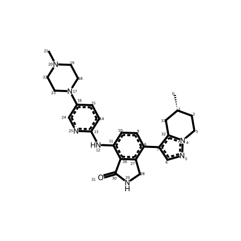 C[C@@H]1CCn2ncc(-c3ccc(Nc4ccc(N5CCN(C)CC5)cn4)c4c3CNC4=O)c2C1